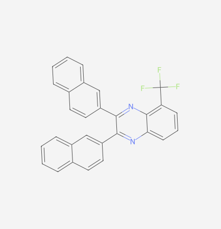 FC(F)(F)c1cccc2nc(-c3ccc4ccccc4c3)c(-c3ccc4ccccc4c3)nc12